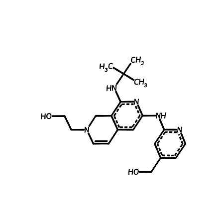 CC(C)(C)Nc1nc(Nc2cc(CO)ccn2)cc2c1CN(CCO)C=C2